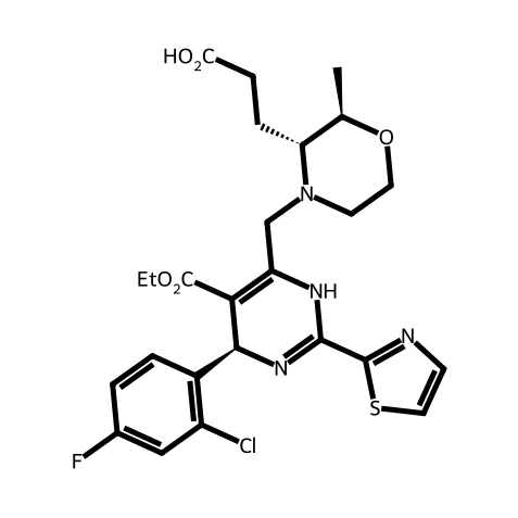 CCOC(=O)C1=C(CN2CCO[C@H](C)[C@H]2CCC(=O)O)NC(c2nccs2)=N[C@H]1c1ccc(F)cc1Cl